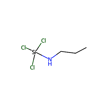 CCCN[Si](Cl)(Cl)Cl